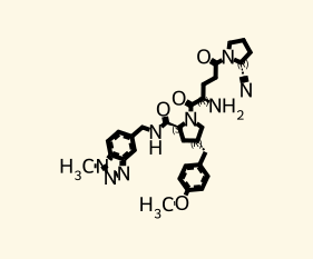 COc1ccc(C[C@@H]2C[C@@H](C(=O)NCc3ccc4c(c3)nnn4C)N(C(=O)[C@H](N)CCC(=O)N3CCC[C@@H]3C#N)C2)cc1